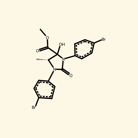 COC(=O)C1(O)[C@@H](C)N(c2ccc(Br)cc2)C(=O)N1c1ccc(Br)cc1